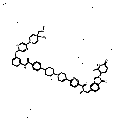 C=C(NC1=CC(SC2C=NC(N3CCC(N)(COC)CC3)=CN2)=CCC1)c1ccc(C2CCC(N3CC=C(c4ccc(C(=O)C(C)Cc5ccc6c(c5)CN(C5CCC(=O)NC5=O)C6=O)nn4)CC3)CC2)cc1